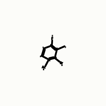 CC(=O)c1ccc(F)c(C)c1Br